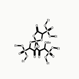 CCOP(=O)(OCC)C(OC)C(=O)OP12(OC(=O)C(P(=O)(OCC)OCC)O1)OC(=O)C(P(=O)(OCC)OCC)O2